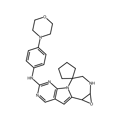 c1cc(N2CCOCC2)ccc1Nc1ncc2cc3n(c2n1)C1(CCCC1)CNC1OC31